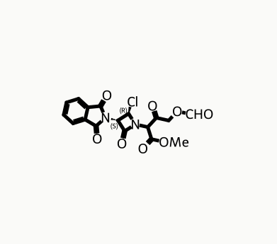 COC(=O)C(C(=O)COC=O)N1C(=O)[C@H](N2C(=O)c3ccccc3C2=O)[C@H]1Cl